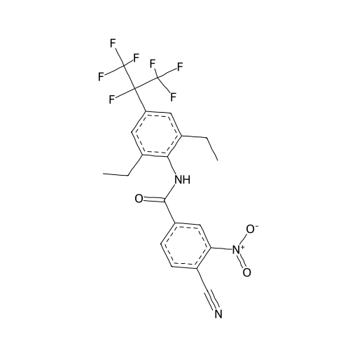 CCc1cc(C(F)(C(F)(F)F)C(F)(F)F)cc(CC)c1NC(=O)c1ccc(C#N)c([N+](=O)[O-])c1